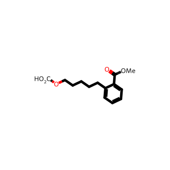 COC(=O)c1ccccc1CCCCCOC(=O)O